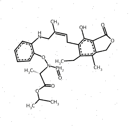 CCc1c(C)c2c(c(O)c1CC=C(C)CNc1ccccc1ON([PH2]=O)[C@@H](C)C(=O)OC(C)C)C(=O)OC2